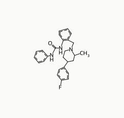 CC1CC(c2ccc(F)cc2)CCN1Cc1ccccc1NC(=O)Nc1ccccc1